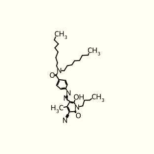 CCCCCCCCN(CCCCCCCC)C(=O)c1ccc(/N=N/c2c(C)c(C#N)c(=O)n(CCCC)c2O)cc1